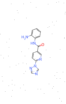 Nc1ccccc1NC(=O)c1ccc(-n2cncn2)nc1